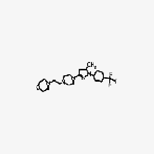 Cc1cc(N2CCN(CCN3CCOCC3)CC2)nn1C1CCC(C(F)(F)F)CC1